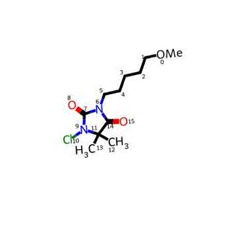 COCCCCCN1C(=O)N(Cl)C(C)(C)C1=O